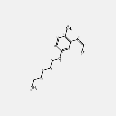 CC/C=N\c1cc(OCCCCCN)ccc1N